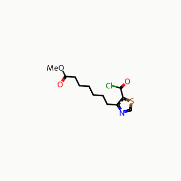 COC(=O)CCCCCCc1ncsc1C(=O)Cl